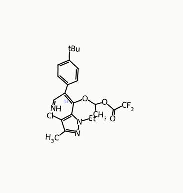 CCn1nc(C)c(Cl)c1/C(OC(C)OC(=O)C(F)(F)F)=C(\C=N)c1ccc(C(C)(C)C)cc1